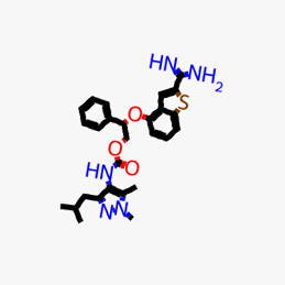 Cc1c(NC(=O)OCC(Oc2cccc3sc(C(=N)N)cc23)c2ccccc2)c(CC(C)C)nn1C